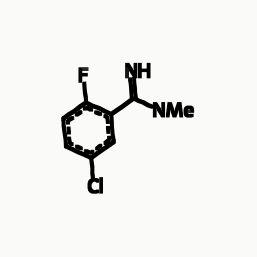 CNC(=N)c1cc(Cl)ccc1F